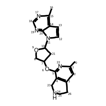 Cc1cc2c(c(OC3COC(n4ccc5c(C)ncnc54)C3)n1)CNCC2